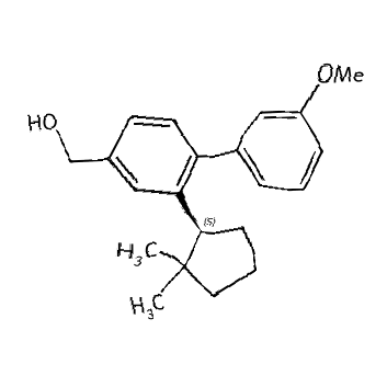 COc1cccc(-c2ccc(CO)cc2[C@H]2CCCC2(C)C)c1